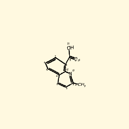 Cc1ccc2cccc(C(=O)O)c2n1